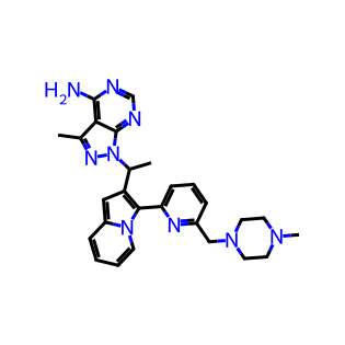 Cc1nn(C(C)c2cc3ccccn3c2-c2cccc(CN3CCN(C)CC3)n2)c2ncnc(N)c12